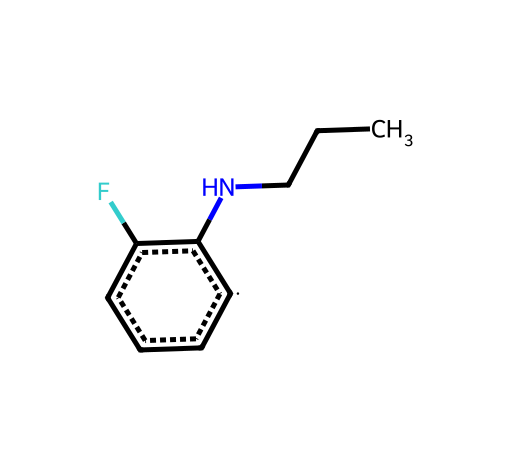 CCCNc1[c]cccc1F